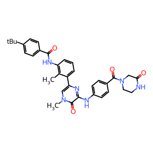 Cc1c(NC(=O)c2ccc(C(C)(C)C)cc2)cccc1-c1cn(C)c(=O)c(Nc2ccc(C(=O)N3CCNC(=O)C3)cc2)n1